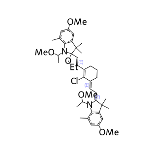 CCOC1(/C=C/C2=C(Cl)C(=C/C=C3\N(C(C)OC)c4c(C)cc(OC)cc4C3(C)C)/CCC2)N(C(C)OC)c2c(C)cc(OC)cc2C1(C)C